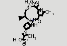 Cc1cc2cc(n1)-c1cnn(C)c1OCCCC(C1CC1)CN1/C(=N/C2=O)Nc2cc(N3CC([C@@H](C)[S+]=O)C3C)ccc21